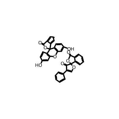 O=C1OC2(OC=C(c3ccccc3)C2=O)c2ccccc21.O=C1OC2(c3ccc(O)cc3Oc3cc(O)ccc32)c2ccccc21